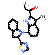 CCC(=O)c1[nH]c2c(-n3c(-c4ncns4)cc4ccc[c]c43)cccc2c1C